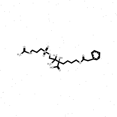 CC(=O)NCCCS(=O)(=O)OCC(C)(C)[C@](O)(CCCCOC(=O)Cc1ccccc1)C(=O)O